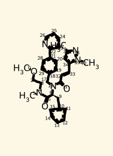 COCCN(C)C(=O)[C@H](Cc1ccccc1)N(Cc1ccc(-c2ccccn2)cc1)C(=O)/C=C/c1cc(C)nn1C